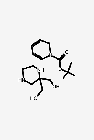 CC(C)(C)OC(=O)N1C=CC=CC1.OCC1(CO)CNCCN1